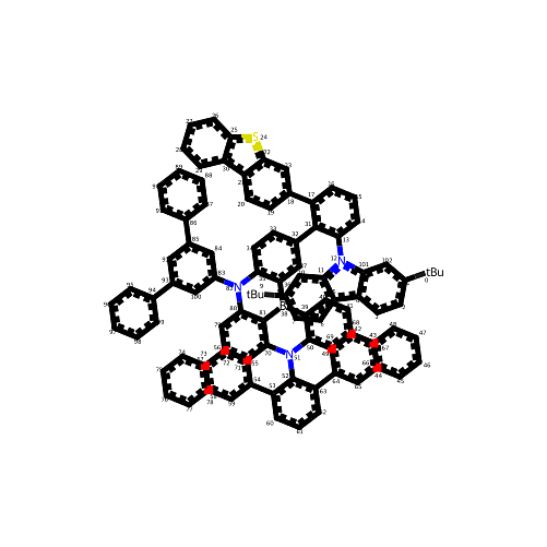 CC(C)(C)c1ccc2c3ccc(C(C)(C)C)cc3n(-c3cccc(-c4ccc5c(c4)sc4ccccc45)c3-c3ccc4c(c3)B3c5ccc(-c6ccccc6)cc5N(c5c(-c6ccccc6)cccc5-c5ccccc5)c5cc(-c6ccccc6)cc(c53)N4c3cc(-c4ccccc4)cc(-c4ccccc4)c3)c2c1